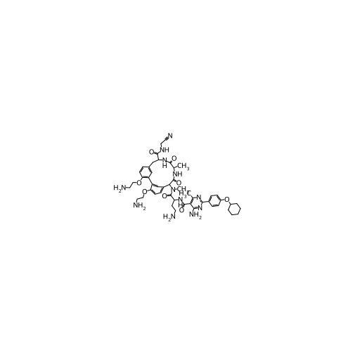 Cc1nc(-c2ccc(OC3CCCCC3)cc2)nc(N)c1C(=O)NC(CCN)C(=O)N(C)C1C(=O)NC(C)C(=O)NC(C(=O)NCC#N)Cc2ccc(OCCN)c(c2)-c2cc1ccc2OCCN